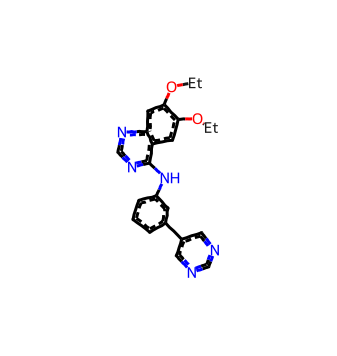 CCOc1cc2ncnc(Nc3cccc(-c4cncnc4)c3)c2cc1OCC